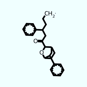 [CH2]CCC(CC(=O)[C]1OC2CCC1CC2c1ccccc1)c1ccccc1